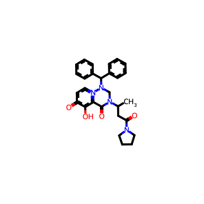 CC(CC(=O)N1CCCC1)N1CN(C(c2ccccc2)c2ccccc2)n2ccc(=O)c(O)c2C1=O